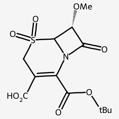 CO[C@@H]1C(=O)N2C(C(=O)OC(C)(C)C)=C(C(=O)O)CS(=O)(=O)C12